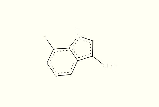 O=Cc1c[nH]c2c(F)cncc12